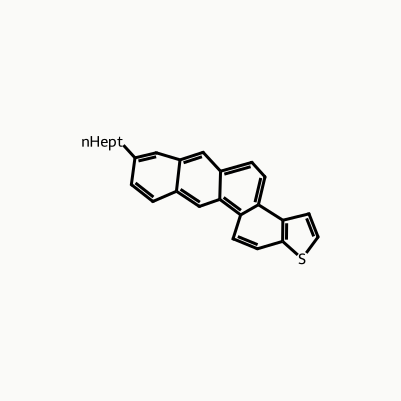 CCCCCCCc1ccc2cc3c(ccc4c5ccsc5ccc34)cc2c1